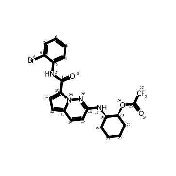 O=C(Nc1ccccc1Br)c1ccc2ccc(N[C@@H]3CCCC[C@@H]3OC(=O)C(F)(F)F)nn12